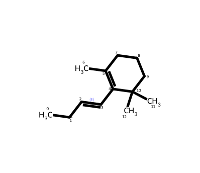 C[CH]/C=C/C1=C(C)CCCC1(C)C